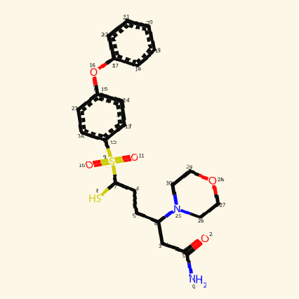 NC(=O)CC(CCC(S)S(=O)(=O)c1ccc(Oc2ccccc2)cc1)N1CCOCC1